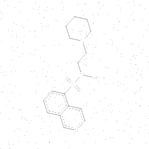 CCCCCCN(CCN1CCCCC1)S(=O)(=O)c1cccc2cnccc12